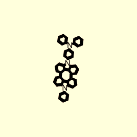 c1ccc(N(c2ccccc2)c2ccc(-n3c4cccc5c6cccc7c6c6c(cccc6n7-c6ccccc6)c6cccc3c6c54)cc2)cc1